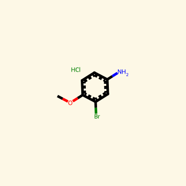 COc1ccc(N)cc1Br.Cl